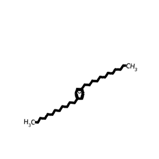 CCCCCCCCCCCCc1cc2oc1cc2CCCCCCCCCCCC